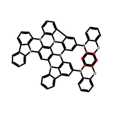 c1ccc2c(c1)Oc1ccccc1N2c1cc2c3c(c1)c1ccccc1n3-c1cc3c4c5c1B2c1cc(N2c6ccccc6Oc6ccccc62)cc2c6cccc(c6n-5c12)B4c1cccc2c4ccccc4n-3c12